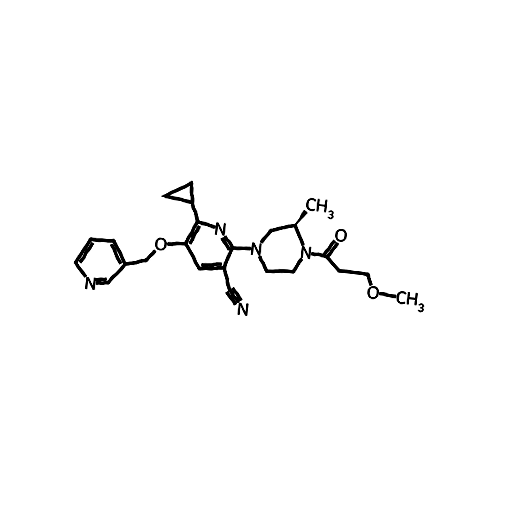 COCCC(=O)N1CCN(c2nc(C3CC3)c(OCc3cccnc3)cc2C#N)C[C@H]1C